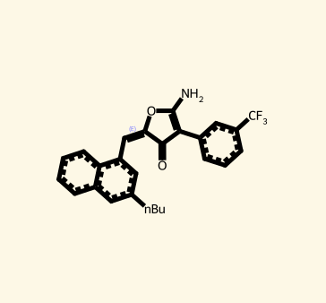 CCCCc1cc(/C=C2/OC(N)=C(c3cccc(C(F)(F)F)c3)C2=O)c2ccccc2c1